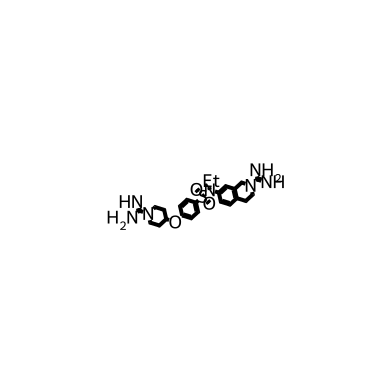 CCN(c1ccc2c(c1)CN(C(=N)N)CC2)S(=O)(=O)c1ccc(OC2CCN(C(=N)N)CC2)cc1